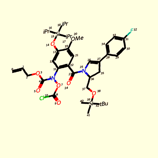 C=CCOC(=O)N(OC(=O)Cl)c1cc(O[Si](C(C)C)(C(C)C)C(C)C)c(OC)cc1C(=O)N1C=C(c2ccc(F)cc2)CC1CO[Si](C)(C)C(C)(C)C